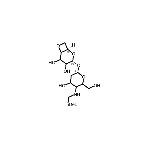 CCCCCCCCCCCNC1C(O)C[C@@H](O[C@H]2O[C@@H]3COC3C(O)C2O)OC1CO